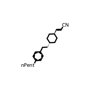 CCCCCc1ccc(CC[C@H]2CC[C@H](C=CC#N)CC2)cc1